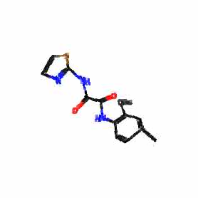 Cc1ccc(NC(=O)C(=O)Nc2nccs2)c(OCC(C)C)c1